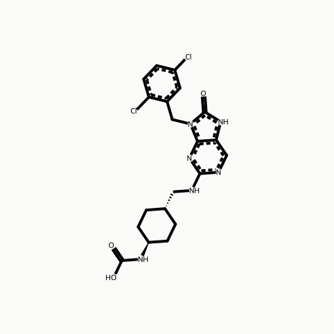 O=C(O)N[C@H]1CC[C@H](CNc2ncc3[nH]c(=O)n(Cc4cc(Cl)ccc4Cl)c3n2)CC1